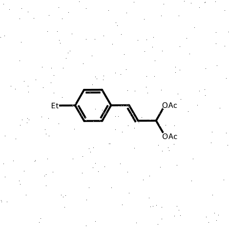 CCc1ccc(/C=C/C(OC(C)=O)OC(C)=O)cc1